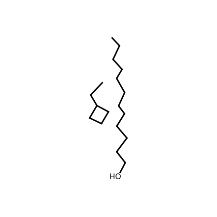 CCC1CCC1.CCCCCCCCCCCCO